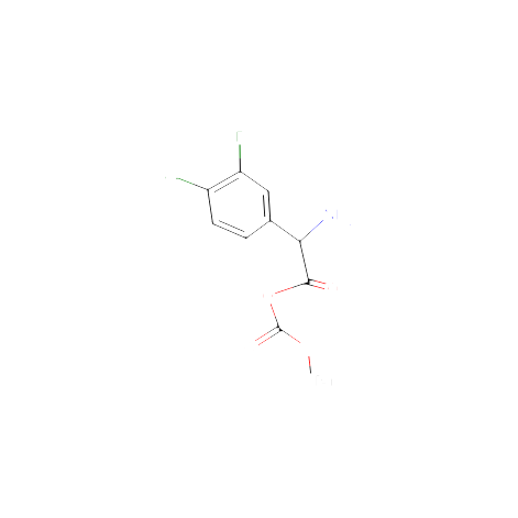 CC(C)(C)OC(=O)OC(=O)C(N)c1ccc(Cl)c(F)c1